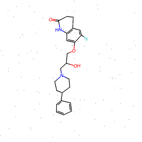 O=C1CCc2cc(F)c(OCC(O)CN3CCC(c4ccccc4)CC3)cc2N1